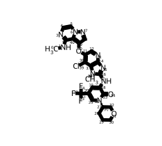 CNc1nccn2ncc(Oc3cnc4nc(Nc5cc(C(F)(F)F)cn([C@@H]6CCCOC6)c5=O)n(C)c4c3Cl)c12